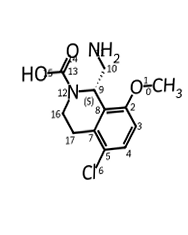 COc1ccc(Cl)c2c1[C@@H](CN)N(C(=O)O)CC2